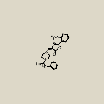 N=C(Nc1ccccc1)N1CCN(C=C2N=C(c3ccccc3C(F)(F)F)OC2=O)CC1